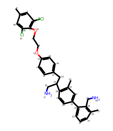 Cc1cc(Cl)c(OCCOc2ccc(CC(CN)c3ccc(-c4cccc(C)c4CN)cc3C)cc2)c(Cl)c1